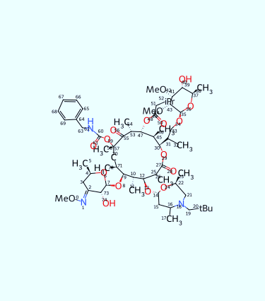 CO/N=C1\C[C@@H](C)O[C@@H](O[C@@H]2[C@@H](C)[C@H](O[C@H]3CC(C)N(CC(C)(C)C)C[C@H](C)O3)[C@@H](C)C(=O)O[C@H](C(C)CO[C@@H]3O[C@H](C)[C@@H](O)[C@@H](OC)[C@H]3OC)[C@H](C)[C@@H](OC(=O)CC(C)C)[C@@H](C)C(=O)[C@@](C)(OC(=O)NCc3ccccc3)C[C@@H]2C)[C@@H]1O